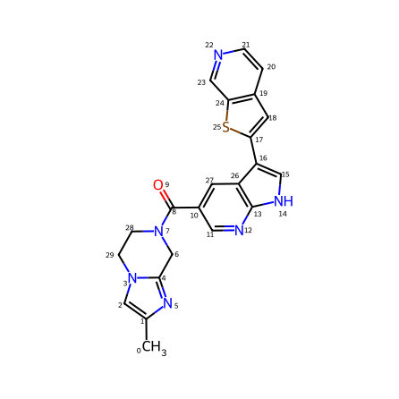 Cc1cn2c(n1)CN(C(=O)c1cnc3[nH]cc(-c4cc5ccncc5s4)c3c1)CC2